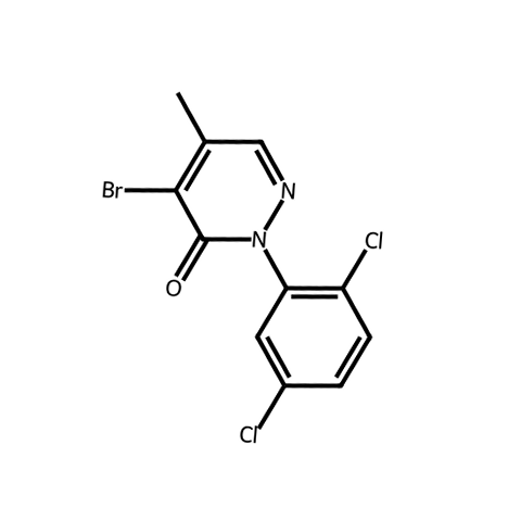 Cc1cnn(-c2cc(Cl)ccc2Cl)c(=O)c1Br